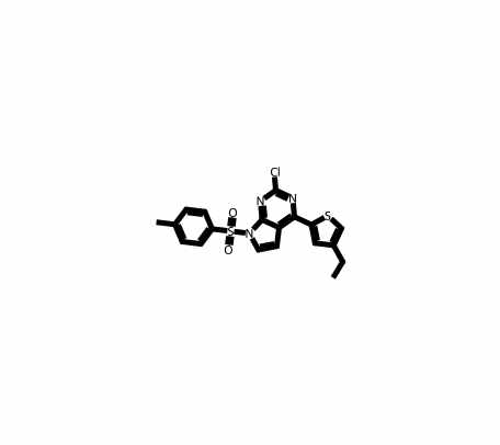 CCc1csc(-c2nc(Cl)nc3c2ccn3S(=O)(=O)c2ccc(C)cc2)c1